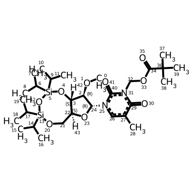 CO[C@@H]1[C@H]2O[Si](C(C)C)(C(C)C)O[Si](C(C)C)(C(C)C)OC[C@@H]2O[C@H]1n1cc(C)c(=O)n(COC(=O)C(C)(C)C)c1=O